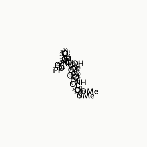 COc1ccc(C(=O)Nc2ccn(C3O[C@H](COP(=O)(N[C@H](C)C(=O)OC(C)C)Oc4ccccc4)[C@@H](O)C3(F)F)c(=O)n2)cc1OC